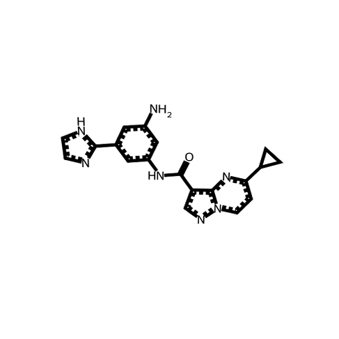 Nc1cc(NC(=O)c2cnn3ccc(C4CC4)nc23)cc(-c2ncc[nH]2)c1